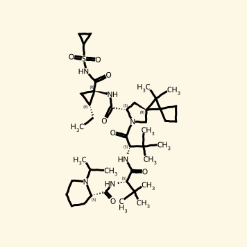 CC[C@@H]1C[C@]1(NC(=O)[C@@H]1C[C@@]2(CN1C(=O)[C@@H](NC(=O)[C@@H](NC(=O)[C@@H]1CCCCN1C(C)C)C(C)(C)C)C(C)(C)C)C(C)(C)C21CCC1)C(=O)NS(=O)(=O)C1CC1